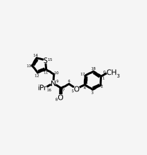 Cc1ccc(OCC(=O)N(Cc2cccs2)C(C)C)cc1